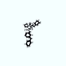 O=C(NCc1cccc(Cc2ccccc2)c1)[C@@H]1CCCN1S(=O)(=O)c1cc2cc(F)ccc2o1